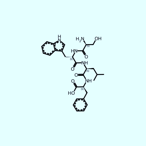 CC(C)C[C@H](NC(=O)[C@H](Cc1c[nH]c2ccccc12)NC(=O)[C@@H](N)CO)C(=O)N[C@@H](Cc1ccccc1)C(=O)O